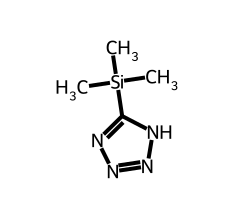 C[Si](C)(C)c1nnn[nH]1